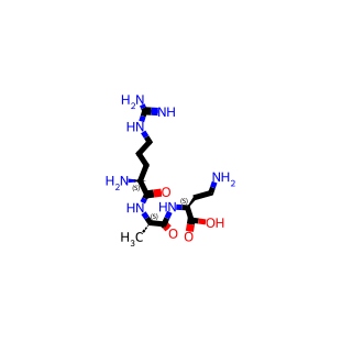 C[C@H](NC(=O)[C@@H](N)CCCNC(=N)N)C(=O)N[C@@H](CCN)C(=O)O